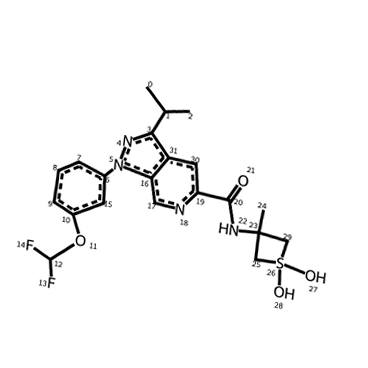 CC(C)c1nn(-c2cccc(OC(F)F)c2)c2cnc(C(=O)NC3(C)CS(O)(O)C3)cc12